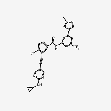 Cc1cn(-c2cc(NC(=O)c3ccc(Cl)c(C#Cc4cnc(NC5CC5)nc4)c3)cc(C(F)(F)F)c2)cn1